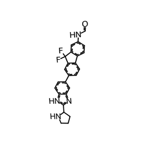 O=CNc1ccc2c(c1)C(F)(F)c1cc(-c3ccc4[nH]c(C5CCCN5)nc4c3)ccc1-2